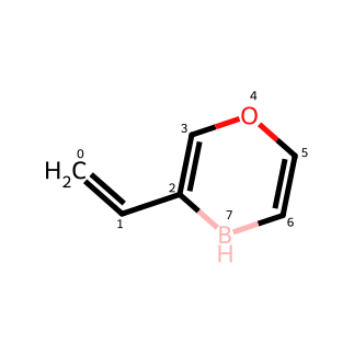 C=CC1=COC=CB1